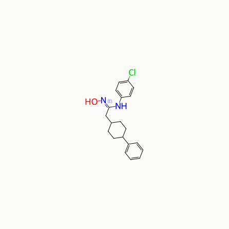 O/N=C(\CC1CCC(c2ccccc2)CC1)Nc1ccc(Cl)cc1